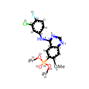 COc1cc2ncnc(Nc3ccc(F)c(Cl)c3)c2cc1P(=O)(OC(C)C)OC(C)C